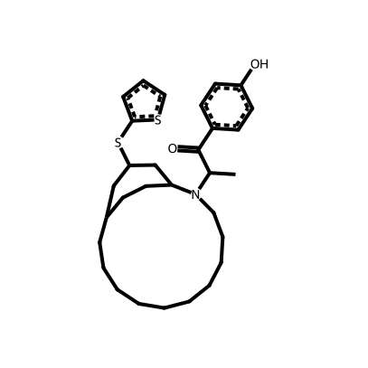 CC(C(=O)c1ccc(O)cc1)N1CCCCCCCCCCC2CCC1CC(Sc1cccs1)C2